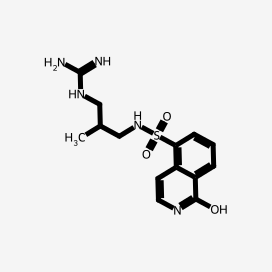 CC(CNC(=N)N)CNS(=O)(=O)c1cccc2c(O)nccc12